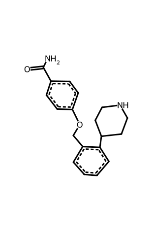 NC(=O)c1ccc(OCc2ccccc2C2CCNCC2)cc1